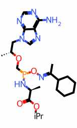 C/C(=N\OP(CO[C@H](C)Cn1cnc2c(N)ncnc21)N[C@@H](C)C(=O)OC(C)C)C1CCCCC1